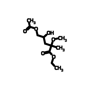 CCOC(=O)C(C)(CC(O)COC(C)=O)OC